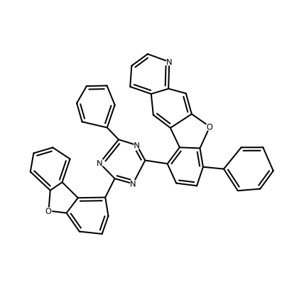 c1ccc(-c2nc(-c3cccc4oc5ccccc5c34)nc(-c3ccc(-c4ccccc4)c4oc5cc6ncccc6cc5c34)n2)cc1